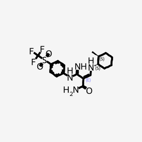 C[C@H]1CCCC[C@@H]1N/C=C(\C(=N)Nc1ccc(S(=O)(=O)C(F)(F)F)cc1)C(N)=O